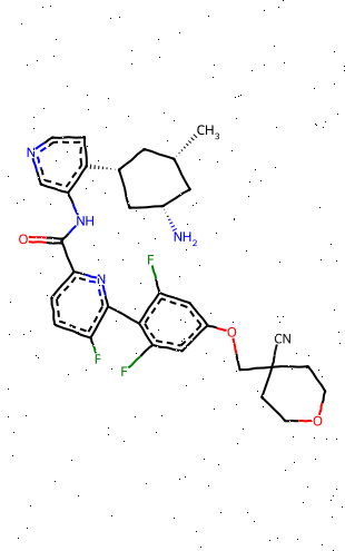 C[C@@H]1C[C@H](N)C[C@H](c2ccncc2NC(=O)c2ccc(F)c(-c3c(F)cc(OCC4(C#N)CCOCC4)cc3F)n2)C1